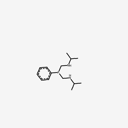 CC(C)NCP(CNC(C)C)c1ccccc1